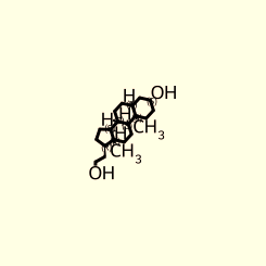 C[C@]12CC[C@H](O)C[C@H]1CC[C@@H]1[C@@H]2CC[C@]2(C)[C@@H](CCO)CC[C@@H]12